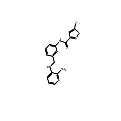 Cc1cc(C(=O)Nc2cccc(CNc3cccnc3N)c2)ns1